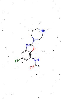 CC(=O)Nc1cc(Cl)cc2nc(N3CCCNCC3)oc12